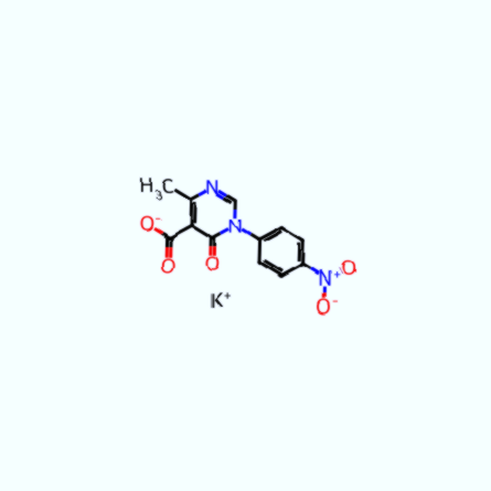 Cc1ncn(-c2ccc([N+](=O)[O-])cc2)c(=O)c1C(=O)[O-].[K+]